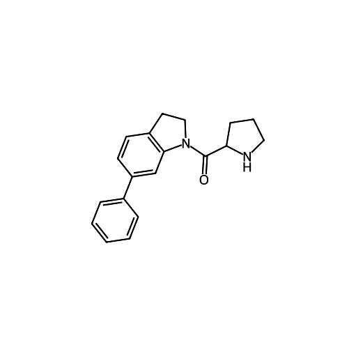 O=C(C1CCCN1)N1CCc2ccc(-c3ccccc3)cc21